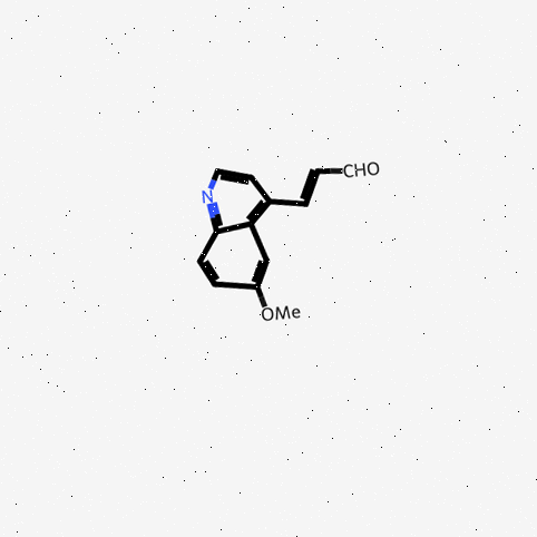 COc1ccc2nccc(C=CC=O)c2c1